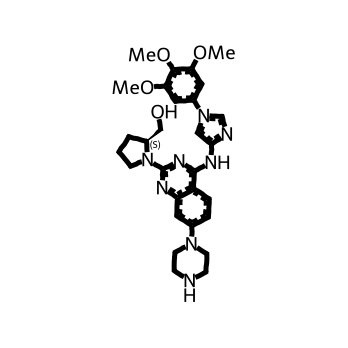 COc1cc(-n2cnc(Nc3nc(N4CCC[C@H]4CO)nc4cc(N5CCNCC5)ccc34)c2)cc(OC)c1OC